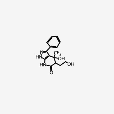 O=C1Nc2[nH]nc(-c3ccccc3)c2C(O)(C(F)(F)F)C1CCO